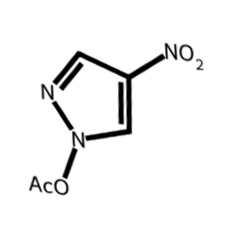 CC(=O)On1cc([N+](=O)[O-])cn1